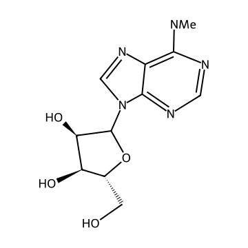 CNc1ncnc2c1ncn2C1O[C@H](CO)[C@@H](O)[C@H]1O